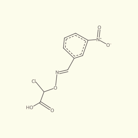 O=C(O)C(Cl)ON=Cc1cccc([N+](=O)[O-])c1